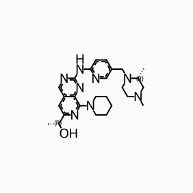 C[C@@H]1CN(C)CCN1Cc1ccc(Nc2ncc3cc([C@@H](C)O)nc(N4CCCCC4)c3n2)nc1